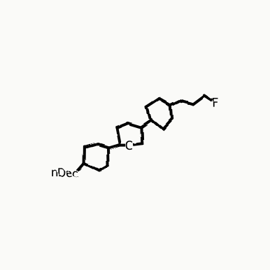 CCCCCCCCCCC1CCC(C2CCC(C3CCC(CCCF)CC3)CC2)CC1